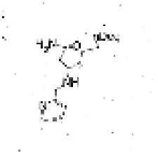 CCCCCCCCCCCCCC(CC(N)=O)NCc1ccccn1